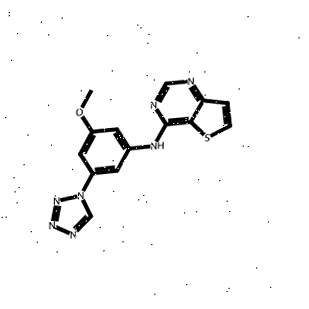 COc1cc(Nc2ncnc3ccsc23)cc(-n2cnnn2)c1